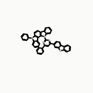 c1ccc(-c2cc(-c3ccc4c(c3)oc3ccccc34)nc(-n3c4ccccc4c4ccc5c(c6ccccc6n5-c5ccccc5)c43)n2)cc1